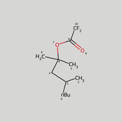 CCCCC(C)CC(C)(C)OC(=O)C(F)(F)F